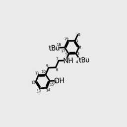 Cc1cc(C(C)(C)C)c(NCCCc2ccccc2O)c(C(C)(C)C)c1